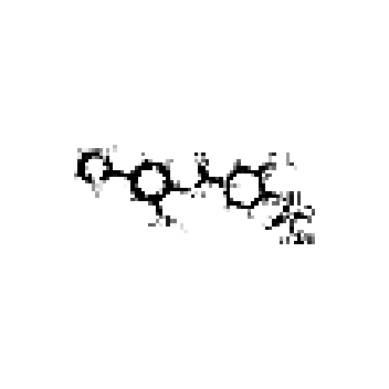 Cc1cc(-c2ncco2)ccc1NC(=O)N1CCC(NS(=O)(=O)C(C)(C)C)C(C)C1